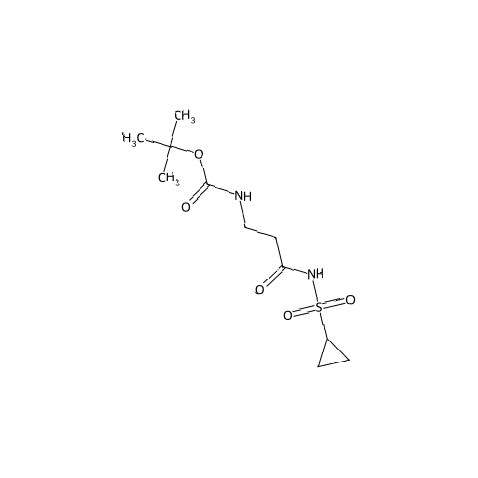 CC(C)(C)OC(=O)NCCC(=O)NS(=O)(=O)C1CC1